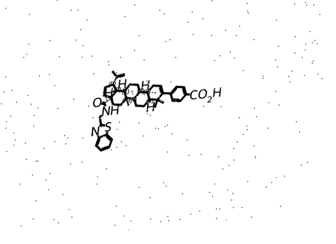 C=C(C)[C@@H]1CC[C@]2(C(=O)NCc3nc4ccccc4s3)CC[C@]3(C)[C@H](CC[C@@H]4[C@@]5(C)CC=C(c6ccc(C(=O)O)cc6)C(C)(C)[C@@H]5CC[C@]43C)[C@@H]12